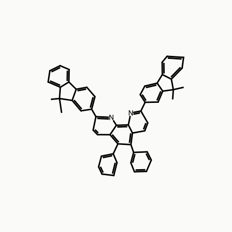 CC1(C)c2ccccc2-c2ccc(-c3ccc4c(-c5ccccc5)c(-c5ccccc5)c5ccc(-c6ccc7c(c6)C(C)(C)c6ccccc6-7)nc5c4n3)cc21